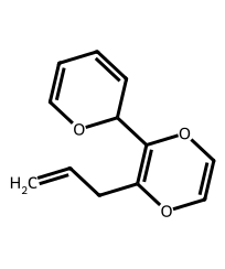 C=CCC1=C(C2C=CC=CO2)OC=CO1